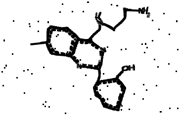 Cc1ccc2c(NCCN)nc(-c3ccccc3O)nc2c1